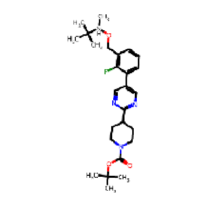 C[SiH](OCc1cccc(-c2cnc(C3CCN(C(=O)OC(C)(C)C)CC3)nc2)c1F)C(C)(C)C